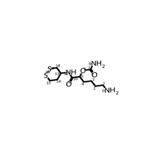 NCCCCC(OC(N)=O)C(=O)NC1CCSSC1